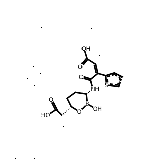 O=C(O)/C=C(\C(=O)N[C@H]1CC[C@@H](CC(=O)O)OB1O)c1cccs1